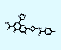 Cc1ccc(C(=O)NC2CN(c3nc4c(cc3F)c(=O)c(C(=O)O)cn4-c3ncns3)C2)nc1